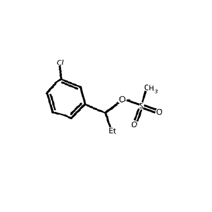 CCC(OS(C)(=O)=O)c1cccc(Cl)c1